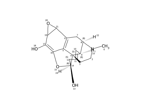 CN1CC[C@@]23C4=C5C[C@@H]1[C@@H]2C=C[C@H](O)[C@@H]3OC4=C(O)C1OC51